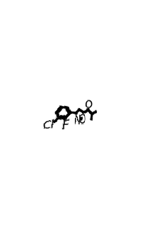 CC(C)C(=O)C1CC(c2cccc(Cl)c2F)=NO1